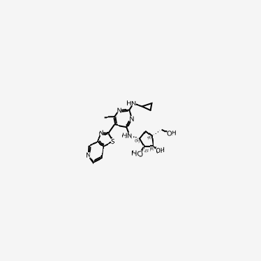 Cc1nc(NC2CC2)nc(N[C@@H]2C[C@H](CO)[C@@H](O)[C@H]2O)c1-c1nc2cnccc2s1